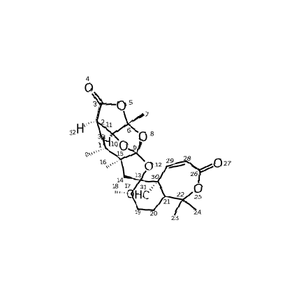 C[C@@H]1[C@H]2C(=O)O[C@]3(C)O[C@@]4(O[C@@H]23)O[C@@]2(C[C@@]14C)[C@@H](C)CCC1C(C)(C)OC(=O)C=C[C@@]12C=O